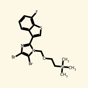 C[Si](C)(C)CCOCn1c(-c2csc3c(F)cccc23)nc(Br)c1Br